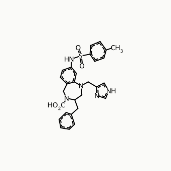 Cc1ccc(S(=O)(=O)Nc2ccc3c(c2)N(Cc2c[nH]cn2)CC(Cc2ccccc2)N(C(=O)O)C3)cc1